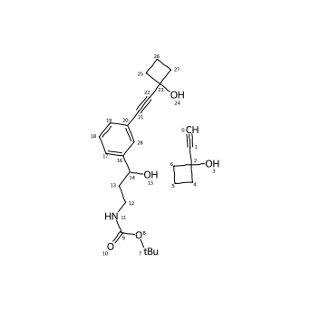 C#CC1(O)CCC1.CC(C)(C)OC(=O)NCCC(O)c1cccc(C#CC2(O)CCC2)c1